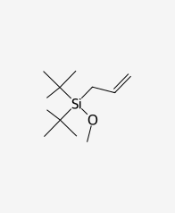 C=CC[Si](OC)(C(C)(C)C)C(C)(C)C